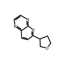 c1cnc2nc(C3CCOC3)ccc2n1